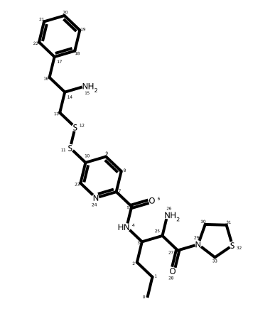 CCCC(NC(=O)c1ccc(SSCC(N)Cc2ccccc2)cn1)C(N)C(=O)N1CCSC1